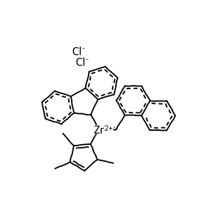 CC1=CC(C)[C](/[Zr+2](=[CH]/c2cccc3ccccc23)[CH]2c3ccccc3-c3ccccc32)=C1C.[Cl-].[Cl-]